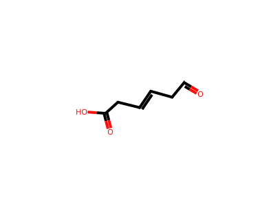 O=[C]CC=CCC(=O)O